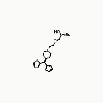 CCCCC(O)COCCN1CCC(=C(c2cccs2)c2cccs2)CC1